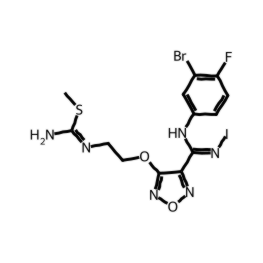 CS/C(N)=N\CCOc1nonc1/C(=N/I)Nc1ccc(F)c(Br)c1